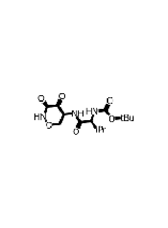 CC(C)C(NC(=O)OC(C)(C)C)C(=O)NC1CONC(=O)C1=O